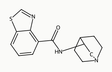 O=C(NC1CN2CCC1CC2)c1cccc2scnc12